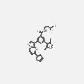 CCN(CC)[C@@H](C)CNC(=O)c1cc(-c2c(C)n[nH]c2C)nc(-c2cnn3ccc(-c4cccs4)nc23)c1